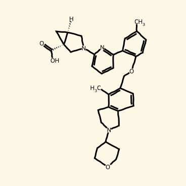 Cc1ccc(OCc2ccc3c(c2C)CCN(C2CCOCC2)C3)c(-c2cccc(N3C[C@@H]4C[C@]4(C(=O)O)C3)n2)c1